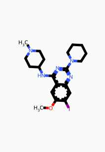 COc1cc2c(NC3CCN(C)CC3)nc(N3CCCCC3)nc2cc1I